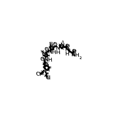 Cn1cc(NC(=O)c2cc(NC(=O)c3cc(NC(=O)c4cc5cc(N(CCCl)CCCl)ccc5s4)cn3C)cn2C)cc1C(=O)NCCC(N)=O